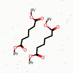 CC(C)OC(=O)CCCCC(=O)OC(C)C.CC(C)OC(=O)CCCCC(=O)OC(C)C